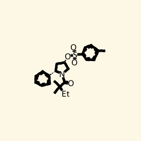 CCC(C)(C)C(=O)N1C[C@@H](OS(=O)(=O)c2ccc(C)cc2)C[C@H]1c1ccccc1